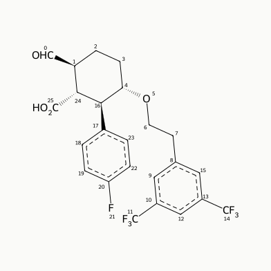 O=C[C@H]1CC[C@H](OCCc2cc(C(F)(F)F)cc(C(F)(F)F)c2)[C@@H](c2ccc(F)cc2)[C@@H]1C(=O)O